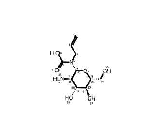 C=CCN(C(=O)O)[C@@H]1O[C@H](CO)[C@@H](O)[C@H](O)[C@H]1N